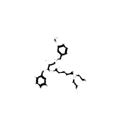 CCCN(CCC)C(=O)CCCC(=O)N[C@@H](Cc1ccc(F)c(C)c1)[C@H](O)CNCc1cccc(OC)c1